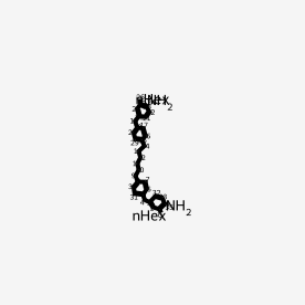 CCCCCCc1cc(Cc2ccc(CCCCCCc3ccc(Cc4ccc(N)c(CCCCCC)c4)cc3)cc2)ccc1N